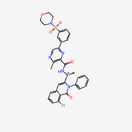 Cc1ncc(-c2cccc(S(=O)(=O)N3CCOCC3)c2)nc1C(=O)N[C@@H](C)c1cc2cccc(Cl)c2c(=O)n1-c1ccccc1